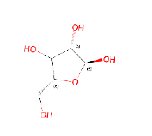 OC[C@H]1O[C@H](O)[C@@H](O)C1O